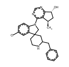 C[C@@H]1C[C@@H](O)c2ncnc(N3CC4(CCNC(Cc5ccccc5)C4)c4cc(Cl)ccc43)c21